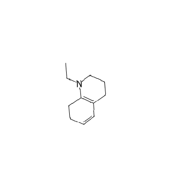 CCN1CCCC2=C1CCC=C2